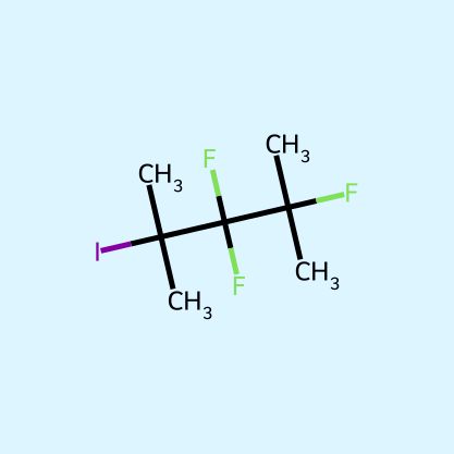 CC(C)(F)C(F)(F)C(C)(C)I